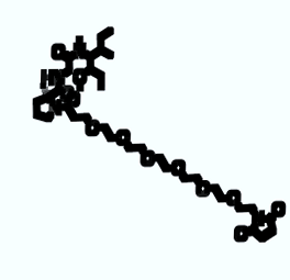 CCC(C)C(C(CC)OC)N(C)C(=O)CNC(=O)[C@]1(C)CCCN1C(=O)CCOCCOCCOCCOCCOCCOCCN1C(=O)C=CC1=O